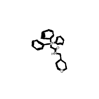 O=C(C[PH](c1ccccc1)(c1ccccc1)c1ccccc1)NCC1CCOCC1